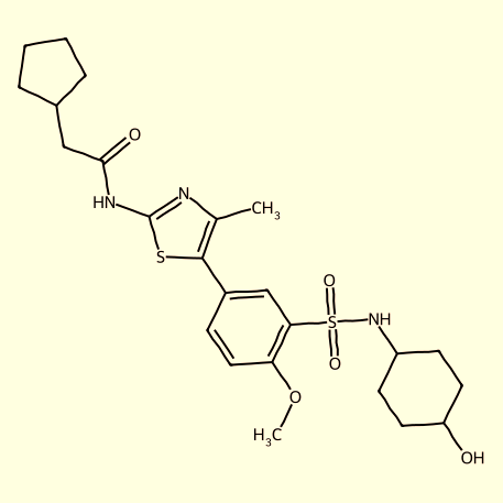 COc1ccc(-c2sc(NC(=O)CC3CCCC3)nc2C)cc1S(=O)(=O)NC1CCC(O)CC1